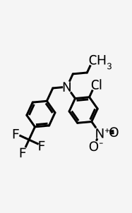 CCCN(Cc1ccc(C(F)(F)F)cc1)c1ccc([N+](=O)[O-])cc1Cl